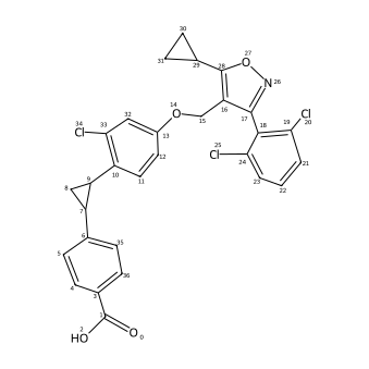 O=C(O)c1ccc(C2CC2c2ccc(OCc3c(-c4c(Cl)cccc4Cl)noc3C3CC3)cc2Cl)cc1